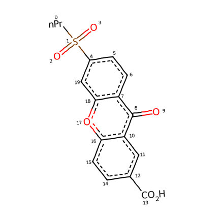 CCCS(=O)(=O)c1ccc2c(=O)c3cc(C(=O)O)ccc3oc2c1